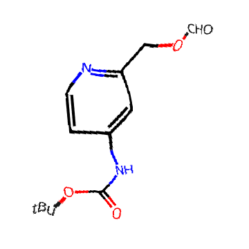 CC(C)(C)OC(=O)Nc1ccnc(COC=O)c1